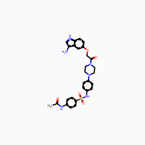 CC(=O)Nc1ccc(S(=O)(=O)Nc2ccc(N3CCN(C(=O)COc4ccc5[nH]cc(N)c5c4)CC3)cc2)cc1